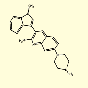 CN1CCN(c2ccc3cc(-c4cn(C)c5ccccc45)c(N)nc3c2)CC1